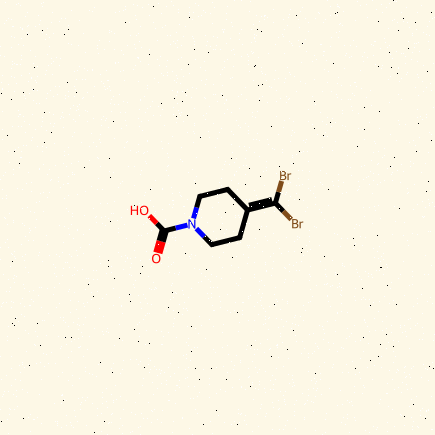 O=C(O)N1CCC(=C(Br)Br)CC1